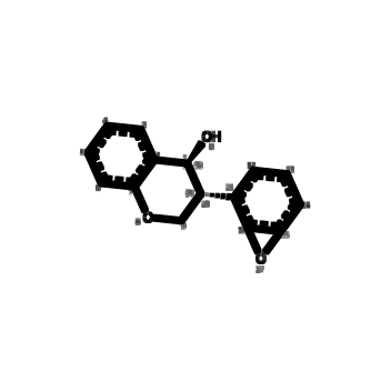 O[C@@H]1c2ccccc2OC[C@H]1c1cccc2c1O2